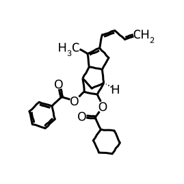 C=C/C=C\C1=C(C)C2C3C[C@@H](C2C1)C(OC(=O)C1CCCCC1)C3OC(=O)c1ccccc1